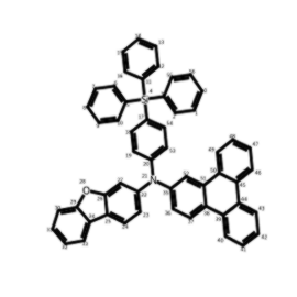 c1ccc([Si](c2ccccc2)(c2ccccc2)c2ccc(N(c3ccc4c(c3)oc3ccccc34)c3ccc4c5ccccc5c5ccccc5c4c3)cc2)cc1